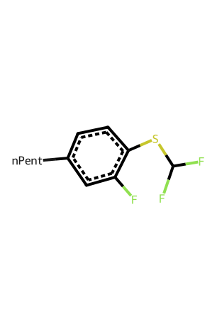 C[CH]CCCc1ccc(SC(F)F)c(F)c1